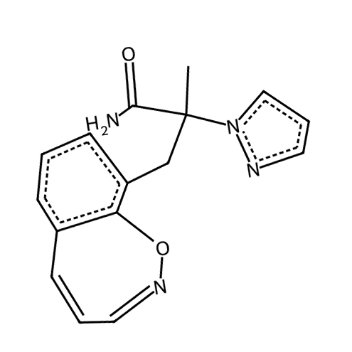 CC(Cc1cccc2c1ON=CC=C2)(C(N)=O)n1cccn1